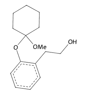 COC1(Oc2ccccc2CCO)CCCCC1